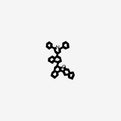 c1ccc(-c2cc(-c3ccc(-c4cc5ccccc5c5c4oc4cc6ccccc6cc45)c4ccccc34)cc(-c3ccccc3)n2)cc1